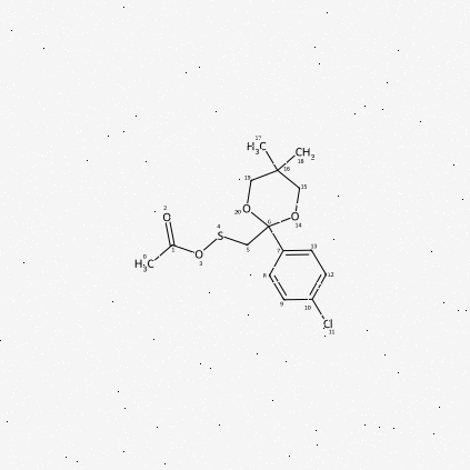 CC(=O)OSCC1(c2ccc(Cl)cc2)OCC(C)(C)CO1